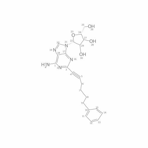 Nc1nc(C#CCCCCc2ccccc2)nc2c1ncn2[C@@H]1O[C@H](CO)C(O)C1O